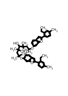 CCc1cc(C)ccc1-c1cc2ccc(OC(C)CC(C)(C)C(O)C(C)(C)CC(C)(C)Oc3ccc4cc(-c5ccc(C)cc5CC)oc4c3)cc2o1